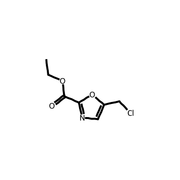 CCOC(=O)c1ncc(CCl)o1